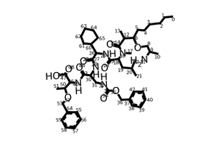 CCCCCCC(OCC(C)N)C(C)C(=O)N(C)C(CC(C)C)C(=O)NC(C(=O)NC(CNC(=O)OCc1ccccc1)C(=O)NC(C(=O)O)C(C)OCc1ccccc1)C1CCCCC1